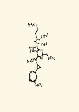 CCCSc1nc(NC2CC2c2cccc([N+](=O)[O-])c2)c2nnn([C@H]3C[C@@H](CCO)[C@H](O)[C@@H]3O)c2n1